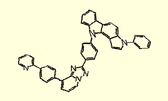 c1ccc(-n2ccc3c2ccc2c4ccccc4n(-c4ccc(-c5nc6c(-c7ccc(-c8ccccn8)cc7)cccn6n5)cc4)c23)cc1